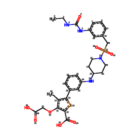 CCNC(=O)Nc1cccc(CS(=O)(=O)N2CCC(Nc3cccc(-c4sc(C(=O)O)c(OCC(=O)O)c4C)c3)CC2)c1